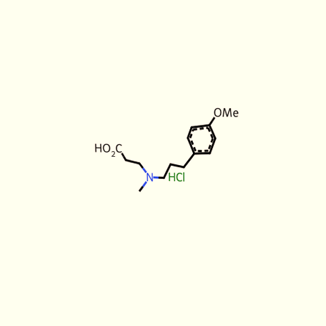 COc1ccc(CCCN(C)CCC(=O)O)cc1.Cl